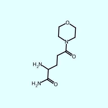 NC(=O)C(N)CCC(=O)N1CCOCC1